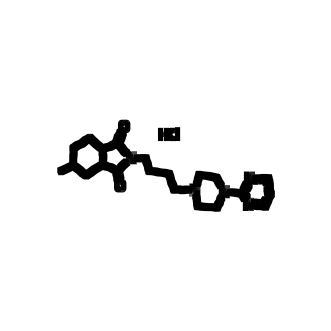 CC1CCC2C(=O)N(CCCCN3CCN(c4ncccn4)CC3)C(=O)C2C1.Cl